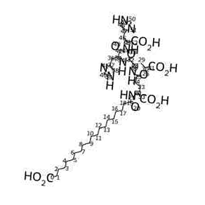 O=C(O)CCCCCCCCCCCCCCCCCCC(=O)N[C@@H](CCC(=O)N[C@@H](CCC(=O)O)C(=O)N[C@@H](Cc1c[nH]cn1)C(=O)N[C@@H](Cc1c[nH]cn1)C(=O)O)C(=O)O